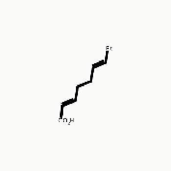 CCC=CCCC=CC(=O)O